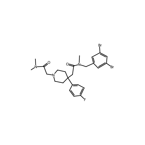 CN(C)C(=O)CN1CCC(CC(=O)N(C)Cc2cc(Br)cc(Br)c2)(c2ccc(F)cc2)CC1